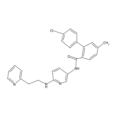 Cc1ccc(C(=O)Nc2ccc(NCCc3ccccn3)nc2)c(-c2ccc(Cl)cc2)c1